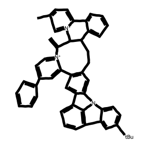 C=C1C2C(CCc3cc4c(cc3-c3cc(-c5ccccc5)cc[n+]31)c1cccc3c5cc(C(C)(C)C)ccc5n4c31)c1ccccc1-c1ccc(C)c[n+]12